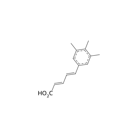 Cc1cc(C=CC=CC(=O)O)cc(C)c1C